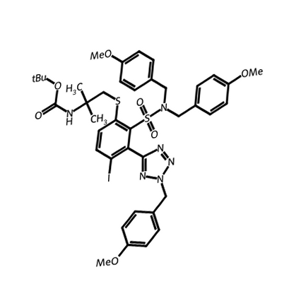 COc1ccc(CN(Cc2ccc(OC)cc2)S(=O)(=O)c2c(SCC(C)(C)NC(=O)OC(C)(C)C)ccc(I)c2-c2nnn(Cc3ccc(OC)cc3)n2)cc1